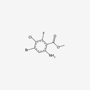 COC(=O)c1c(N)cc(Br)c(Cl)c1F